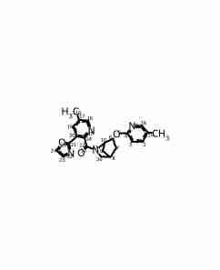 Cc1ccc(OC2CC3CC2N(C(=O)c2ncc(C)cc2-c2ncco2)C3)nc1